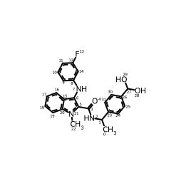 CC(NC(=O)c1c(Nc2cccc(F)c2)c2ccccc2n1C)c1ccc(C(O)O)cc1